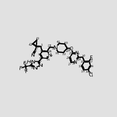 N#CC1(Cc2cc(-c3nnc(C(F)(F)F)[nH]3)cnc2CN2CCC(Oc3ccnc(Cc4ccc(Cl)cc4F)n3)CC2)CC1